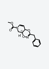 COC(=O)N1C=CC2OC(Cc3ccccc3)=NO[C@H]2C1